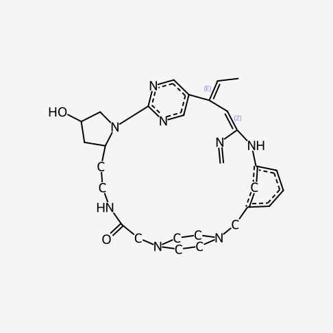 C=N/C1=C\C(=C/C)c2cnc(nc2)N2CC(O)CC2CCNC(=O)CN2CCN(CC2)Cc2cccc(c2)N1